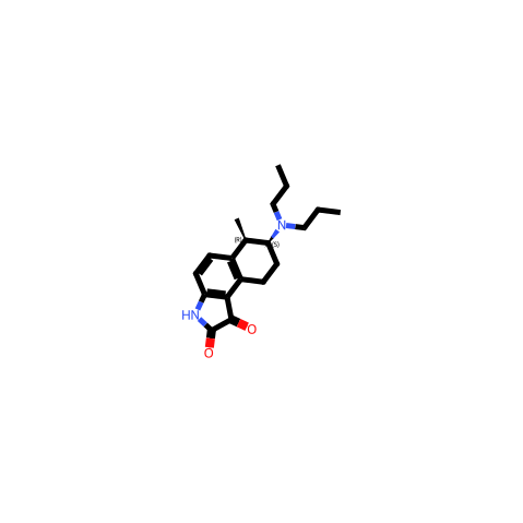 CCCN(CCC)[C@H]1CCc2c(ccc3c2C(=O)C(=O)N3)[C@H]1C